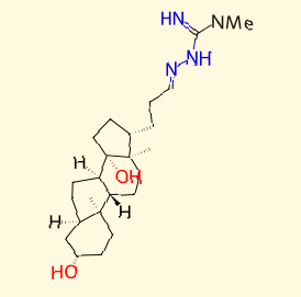 CNC(=N)N/N=C/CC[C@H]1CC[C@]2(O)[C@@H]3CC[C@@H]4C[C@@H](O)CC[C@]4(C)[C@H]3CC[C@]12C